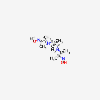 CCO/N=C(C)/C(C)=N/CC(C)(C)C/N=C(C)/C(C)=N/O